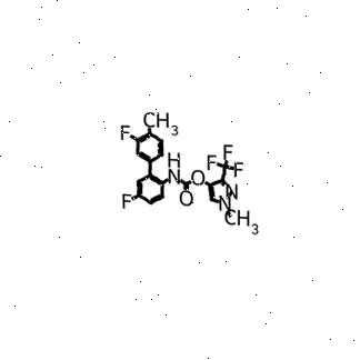 Cc1ccc(-c2cc(F)ccc2NC(=O)Oc2cn(C)nc2C(F)(F)F)cc1F